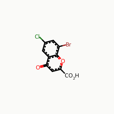 O=C(O)c1cc(=O)c2cc(Cl)cc(Br)c2o1